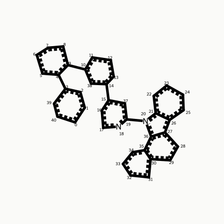 c1ccc(-c2ccccc2-c2cccc(-c3ccnc(-n4c5ccccc5c5ccc6ccccc6c54)c3)c2)cc1